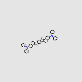 c1ccc(N(c2ccccc2)c2ccc3c(ccc4c5cc6sc7c8ccc(N(c9ccccc9)c9ccccc9)cc8ccc7c6cc5sc34)c2)cc1